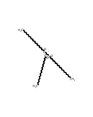 CCCCCCCCCC=CC=CC=CC=CC=CC(=O)OCC(COC(=O)C=CC=CC=CC=CC=CCCCCCCCCC)OC(=O)C=CC=CC=CC=CC=CCCCCCCCCC